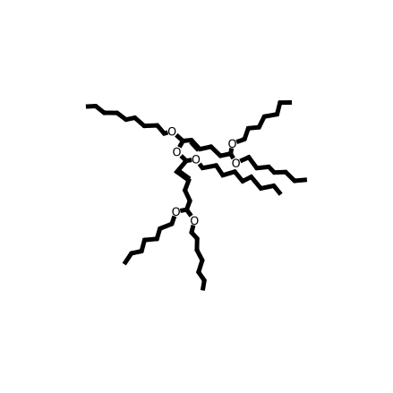 CCCCCCCCCOC(C=CCCC(OCCCCCCC)OCCCCCCC)OC(C=CCCC(OCCCCCCC)OCCCCCCC)OCCCCCCCCC